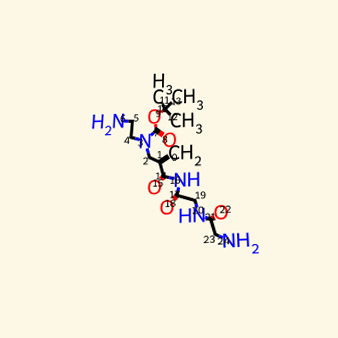 C=C(CN(CCN)C(=O)OC(C)(C)C)C(=O)NC(=O)CNC(=O)CN